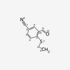 CCSc1ccc(C#N)cc1C=O